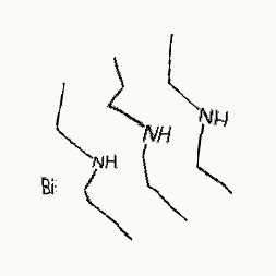 CCNCC.CCNCC.CCNCC.[Bi]